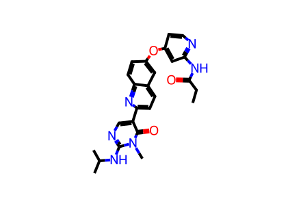 CCC(=O)Nc1cc(Oc2ccc3nc(-c4cnc(NC(C)C)n(C)c4=O)ccc3c2)ccn1